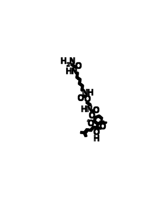 COC1C(OC(=O)NCCOC(=O)NCCCCCCNC(=O)CN)CC[C@]2(CO2)C1C(C)(O)CCC=C(C)C